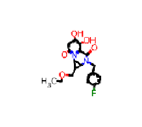 CCOCC1C2C1n1c(c(O)c(O)cc1=O)C(=O)N2Cc1ccc(F)cc1